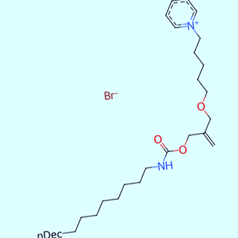 C=C(COCCCCC[n+]1ccccc1)COC(=O)NCCCCCCCCCCCCCCCCCC.[Br-]